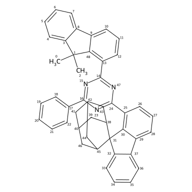 CC1(C)c2ccccc2-c2cccc(-c3nc(-c4ccccc4)nc(-c4cccc5c4C4(c6ccccc6-5)C5CC6CC(C5)CC4C6)n3)c21